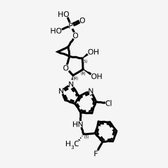 C[C@H](Nc1cc(Cl)nc2c1cnn2[C@@H]1OC2(CC2OP(=O)(O)O)[C@@H](O)[C@H]1O)c1ccccc1F